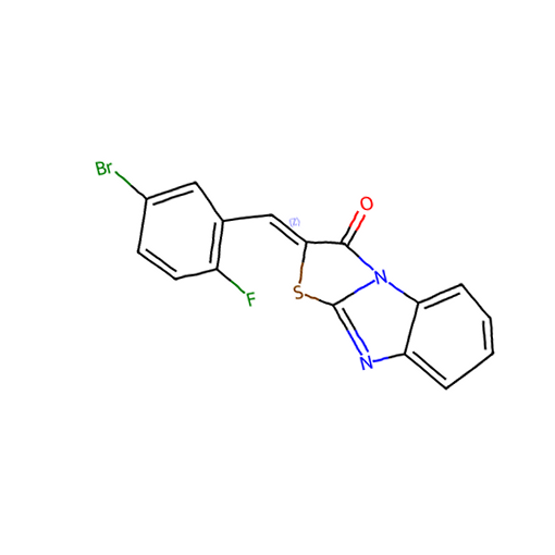 O=c1/c(=C/c2cc(Br)ccc2F)sc2nc3ccccc3n12